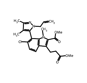 C=CCn1nc(C)c(C)c1-c1c(Cl)ccc2c(CCC(=O)OC)c(C(=O)OC)n(C)c12